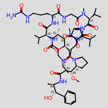 CC[C@H](C)[C@@H]([C@@H](CC(=O)N1CCC[C@H]1[C@H](OC)[C@@H](C)C(=O)N[C@H](C)[C@@H](O)c1ccccc1)OC)N(C)C(=O)[C@@H](NC(=O)[C@H](C(C)C)N(C)C(=O)CNC(=O)[C@H](CCCNC(N)=O)NC(=O)[C@@H](NC(=O)CCN(CC)CCCN1C(=O)C=CC1=O)C(C)C)C(C)C